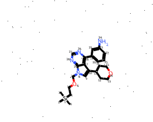 C[Si](C)(C)CCOCn1cc(C2CCOCC2)c2c(-c3cccc(N)c3)ncnc21